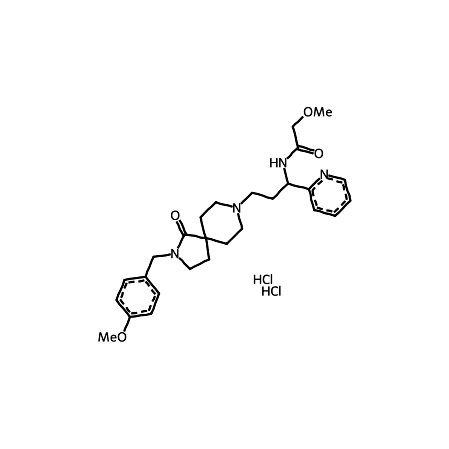 COCC(=O)NC(CCN1CCC2(CC1)CCN(Cc1ccc(OC)cc1)C2=O)c1ccccn1.Cl.Cl